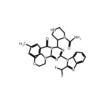 Cc1cccc(C(=O)N2C(N3CCOCC3)=NC(n3c(C(F)F)nc4ccccc43)=NC2C2CNCCN2C(N)=O)c1